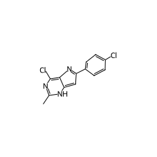 Cc1nc(Cl)c2nc(-c3ccc(Cl)cc3)cc-2[nH]1